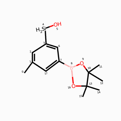 Cc1cc([SiH2]O)cc(B2OC(C)(C)C(C)(C)O2)c1